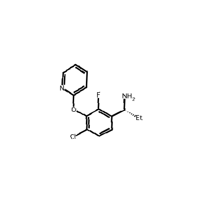 CC[C@@H](N)c1ccc(Cl)c(Oc2ccccn2)c1F